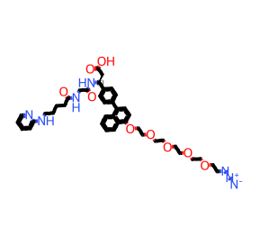 [N-]=[N+]=NCCOCCOCCOCCOCCOc1ccc(-c2ccc([C@H](CC(=O)O)NC(=O)CNC(=O)CCCCNc3ccccn3)cc2)c2ccccc12